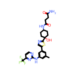 Cc1cc(Nc2nccc(C(F)(F)F)n2)cc(-c2cnc([C@]3(O)CC[C@@H](NC(=O)CCC(N)=O)CC3)s2)c1